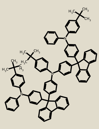 CC(C)(C)c1ccc(N(C2=CCC(C3(c4ccc(N(c5ccc(C(C)(C)C)cc5)c5ccc(C6(c7ccc(N(c8ccccc8)c8ccc(C(C)(C)C)cc8)cc7)c7ccccc7-c7ccccc76)cc5)cc4)c4ccccc4-c4ccccc43)C=C2)c2ccccc2)cc1